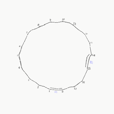 C1=C\CCCCCCCCCCCC/C=C/CC/1